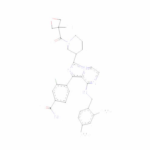 COc1ccc(CNc2nccn3c(C4CCCN(C(=O)C5(C)COC5)C4)nc(-c4ccc(C(N)=O)cc4F)c23)c(OC)c1